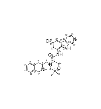 CC1(C)CN(CC2Cc3ccccc3CN2)[C@H](C(=O)Nc2cc(Cl)cc3c2[nH]c2cnccc23)CO1